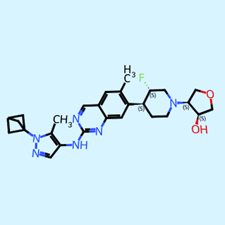 Cc1cc2cnc(Nc3cnn(C45CC(C4)C5)c3C)nc2cc1[C@@H]1CCN([C@H]2COC[C@H]2O)C[C@H]1F